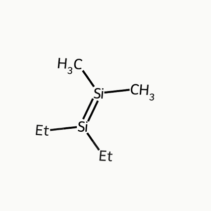 CC[Si](CC)=[Si](C)C